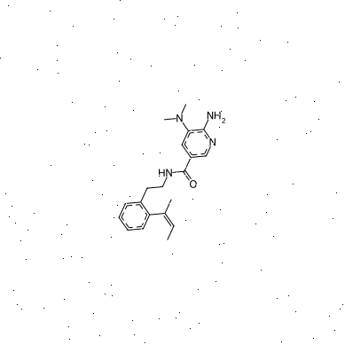 C/C=C(/C)c1ccccc1CCNC(=O)c1cnc(N)c(N(C)C)c1